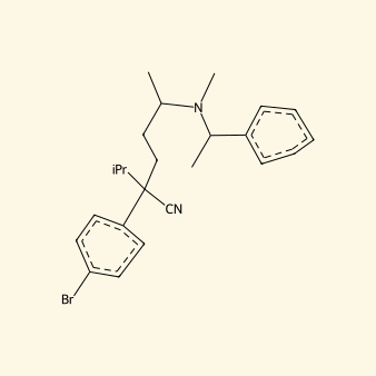 CC(CCC(C#N)(c1ccc(Br)cc1)C(C)C)N(C)C(C)c1ccccc1